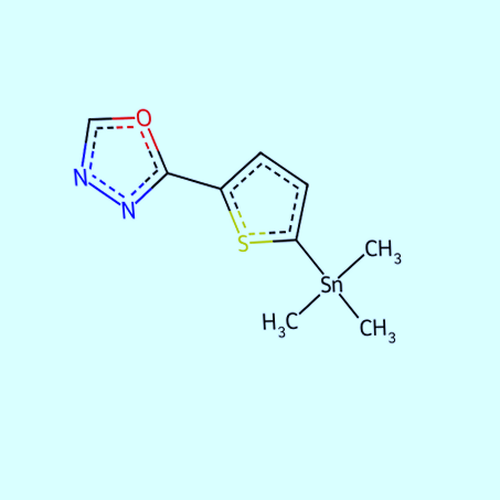 [CH3][Sn]([CH3])([CH3])[c]1ccc(-c2nnco2)s1